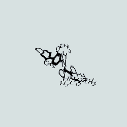 COC(=O)C(C)(C)NC(=O)C(=O)Nc1ccc(C2=CCOC=C2C)c(OC)c1